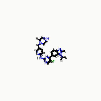 Cc1nc2ccc(-c3nc(Nc4ccc(CN5CCNC[C@@H]5C)cn4)ncc3F)cc2n1C(C)C